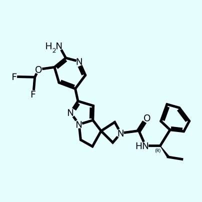 CC[C@@H](NC(=O)N1CC2(CCn3nc(-c4cnc(N)c(OC(F)F)c4)cc32)C1)c1ccccc1